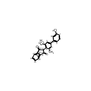 Cc1cc(-c2cccc(Cl)c2)cc(C)c1C1C(=O)c2c(c3ccc2o3)C1=O